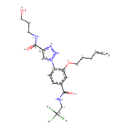 C=CCCCOc1cc(C(=O)NCC(F)(F)F)ccc1-n1cc(C(=O)NCCCO)nn1